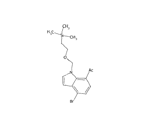 CC(=O)c1ccc(Br)c2ccn(COCC[Si](C)(C)C)c12